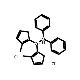 CC1=[C]([Zr+2]([C]2=C(C)C=CC2)[SiH](c2ccccc2)c2ccccc2)CC=C1.[Cl-].[Cl-]